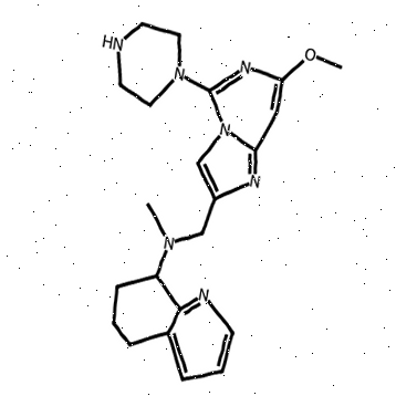 COc1cc2nc(CN(C)C3CCCc4cccnc43)cn2c(N2CCNCC2)n1